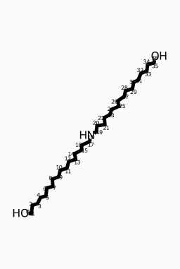 OCCCCCCCCCCCCCCCCCNCCCCCCCCCCCCCCCCCO